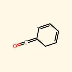 O=C=C1[C]=CC=CC1